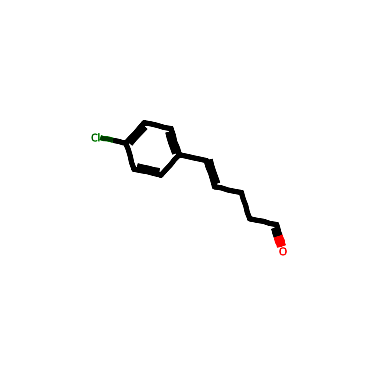 O=CCC/C=C/c1ccc(Cl)cc1